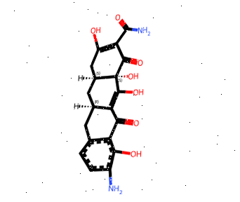 NC(=O)C1=C(O)C[C@@H]2C[C@@H]3Cc4ccc(N)c(O)c4C(=O)C3=C(O)[C@]2(O)C1=O